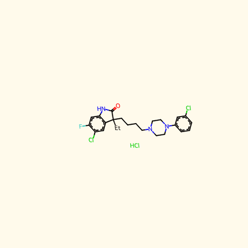 CCC1(CCCCN2CCN(c3cccc(Cl)c3)CC2)C(=O)Nc2cc(F)c(Cl)cc21.Cl